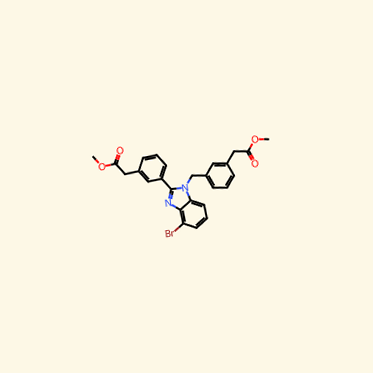 COC(=O)Cc1cccc(Cn2c(-c3cccc(CC(=O)OC)c3)nc3c(Br)cccc32)c1